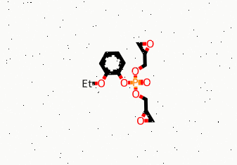 CCOc1ccccc1OP(=O)(OCC1CO1)OCC1CO1